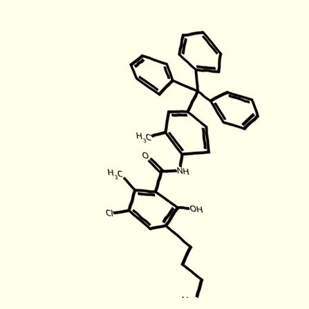 CCCCc1cc(Cl)c(C)c(C(=O)Nc2ccc(C(c3ccccc3)(c3ccccc3)c3ccccc3)cc2C)c1O